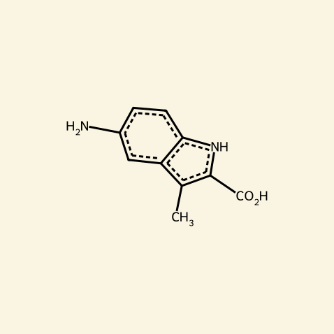 Cc1c(C(=O)O)[nH]c2ccc(N)cc12